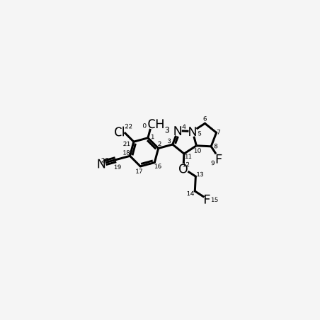 Cc1c(C2=NN3CCC(F)C3C2OCCF)ccc(C#N)c1Cl